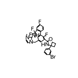 Cn1ccn(Cc2cc(C(=O)NC3(c4cccc(Br)c4)CCC3)c(F)c(-c3ccc(F)cc3C(F)(F)F)c2)c1=N